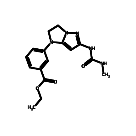 CCOC(=O)c1cccc(N2CCn3nc(NC(=O)NC)cc32)c1